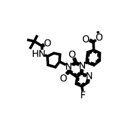 COC(=O)c1cccc(-n2c(=O)n(C3CCC(NC(=O)C(C)(C)C)CC3)c(=O)c3cc(F)cnc32)c1